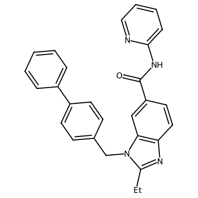 CCc1nc2ccc(C(=O)Nc3ccccn3)cc2n1Cc1ccc(-c2ccccc2)cc1